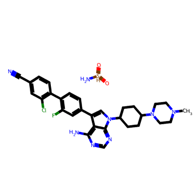 CN1CCN(C2CCC(n3cc(-c4ccc(-c5ccc(C#N)cc5Cl)c(F)c4)c4c(N)ncnc43)CC2)CC1.N[SH](=O)=O